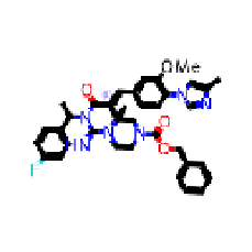 COc1cc(/C=C2/C(=O)N(C(C)c3ccc(F)cc3)C(=N)N3CCN(C(=O)OCc4ccccc4)CC23C)ccc1-n1cnc(C)c1